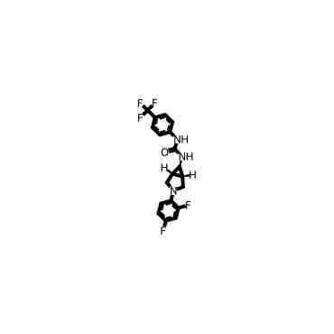 O=C(Nc1ccc(C(F)(F)F)cc1)N[C@H]1[C@@H]2CN(c3ccc(F)cc3F)C[C@@H]21